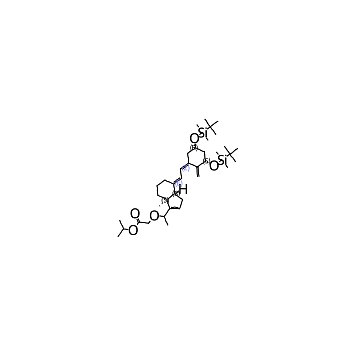 C=C1/C(=C\C=C2/CCC[C@]3(C)C(C(C)OCC(=O)OC(C)C)=CC[C@@H]23)C[C@@H](O[Si](C)(C)C(C)(C)C)C[C@@H]1O[Si](C)(C)C(C)(C)C